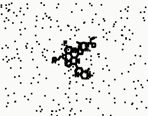 C=CC(=O)N1C[C@H](C)n2nc(-c3nc(-c4cnc5c(c4)[C@@H](C)N(C)CC5)c4ccsc4c3-c3c(F)cc(F)cc3OCCOC)cc2[C@H]1C